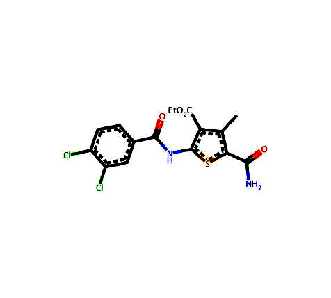 CCOC(=O)c1c(NC(=O)c2ccc(Cl)c(Cl)c2)sc(C(N)=O)c1C